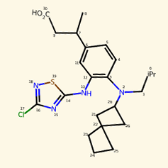 CC(C)CN(c1ccc(C(C)CC(=O)O)cc1Nc1nc(Cl)ns1)C1CC2(CCC2)C1